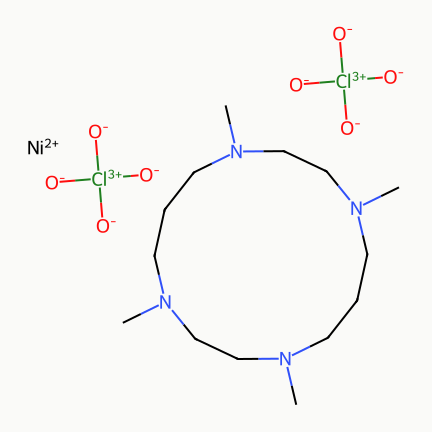 CN1CCCN(C)CCN(C)CCCN(C)CC1.[Ni+2].[O-][Cl+3]([O-])([O-])[O-].[O-][Cl+3]([O-])([O-])[O-]